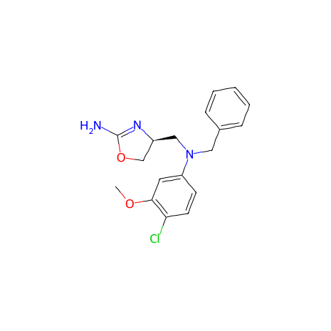 COc1cc(N(Cc2ccccc2)C[C@H]2COC(N)=N2)ccc1Cl